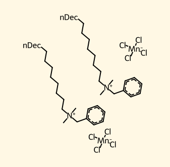 CCCCCCCCCCCCCCCCCC[N+](C)(C)Cc1ccccc1.CCCCCCCCCCCCCCCCCC[N+](C)(C)Cc1ccccc1.[Cl][Mn-]([Cl])([Cl])[Cl].[Cl][Mn-]([Cl])([Cl])[Cl]